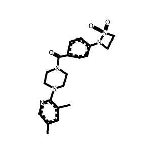 Cc1cnc(N2CCN(C(=O)c3ccc(N4CCS4(=O)=O)cc3)CC2)c(C)c1